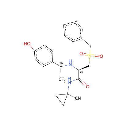 N#CC1(NC(=O)[C@H](CS(=O)(=O)Cc2ccccc2)N[C@@H](c2ccc(O)cc2)C(F)(F)F)CC1